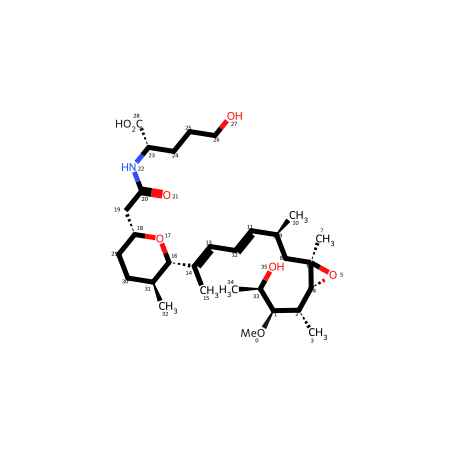 CO[C@H]([C@@H](C)[C@H]1O[C@]1(C)C[C@H](C)/C=C/C=C(\C)[C@H]1O[C@@H](CC(=O)N[C@@H](CCCO)C(=O)O)CC[C@@H]1C)[C@@H](C)O